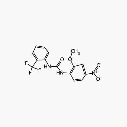 COc1cc([N+](=O)[O-])ccc1NC(=O)Nc1ccccc1C(F)(F)F